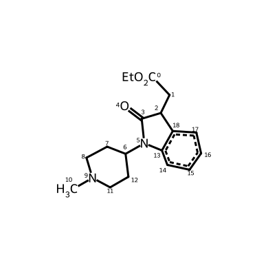 CCOC(=O)CC1C(=O)N(C2CCN(C)CC2)c2ccccc21